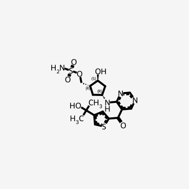 CC(C)(O)c1csc(C(=O)c2cncnc2N[C@@H]2C[C@H](COS(N)(=O)=O)[C@@H](O)C2)c1